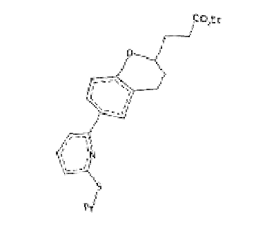 CCOC(=O)CCC1CCc2cc(-c3cccc(SC(C)C)n3)ccc2O1